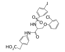 O=C(O)Cc1ccc(NC(=O)C(COc2ccccc2Cl)NS(=O)(=O)c2ccc(I)cc2)cc1